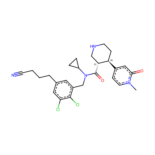 Cn1ccc([C@@H]2CCNC[C@H]2C(=O)N(Cc2cc(CCCC#N)cc(Cl)c2Cl)C2CC2)cc1=O